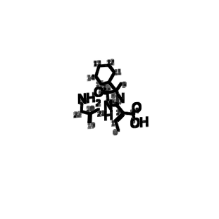 C/C=C(\C(=O)O)C1=NC(C)(C2CCCCC2)C(=O)N1.C=C(C)CN